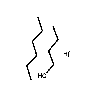 CCCCCC.CCCCO.[Hf]